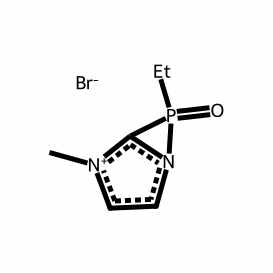 CCP1(=O)c2n1cc[n+]2C.[Br-]